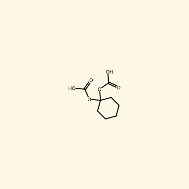 O=C(O)OC1(OC(=O)O)CCCCC1